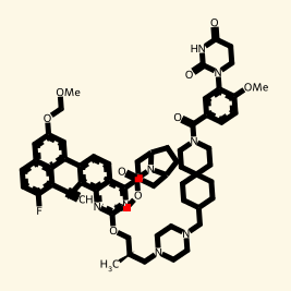 C#Cc1c(F)ccc2cc(OCOC)cc(-c3ccc4c(N5CC6CCC(C5)N6C(=O)OC(C)(C)C)nc(OC[C@H](C)CN5CCN(CC6CCC7(CC6)CCN(C(=O)c6ccc(OC)c(N8CCC(=O)NC8=O)c6)CC7)CC5)nc4c3F)c12